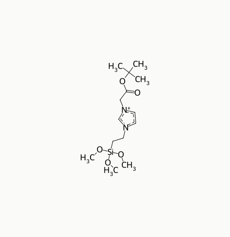 CO[Si](CCn1cc[n+](CC(=O)OC(C)(C)C)c1)(OC)OC